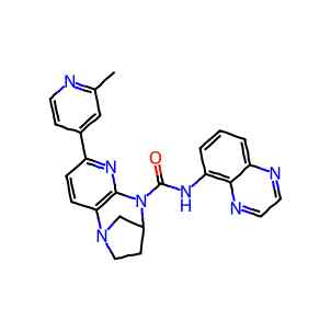 Cc1cc(-c2ccc3c(n2)N(C(=O)Nc2cccc4nccnc24)C2CCN3C2)ccn1